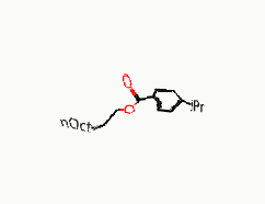 CCCCCCCCCCOC(=O)c1ccc(C(C)C)cc1